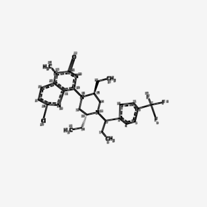 CCC(c1ccc(C(F)(F)F)cc1)N1C[C@H](CC)N(c2nc(=O)n(C)c3ccc(Cl)nc23)C[C@H]1CC